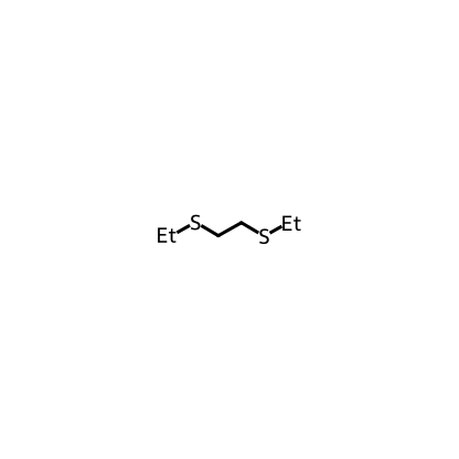 CCSCCSCC